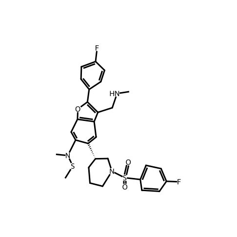 CNCc1c(-c2ccc(F)cc2)oc2cc(N(C)SC)c([C@H]3CCCN(S(=O)(=O)c4ccc(F)cc4)C3)cc12